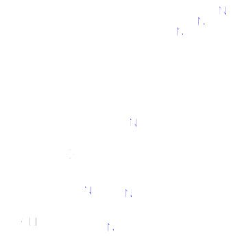 Cc1ccccc1CN1C(=O)C2=C(CCN(Cc3cccc(N=[N+]=[N-])c3)C2)N2CCN=C12